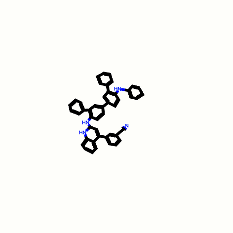 N#Cc1cccc(C2=CC(Nc3ccc(-c4ccc(Nc5ccccc5)c(-c5ccccc5)c4)cc3-c3ccccc3)Nc3ccccc32)c1